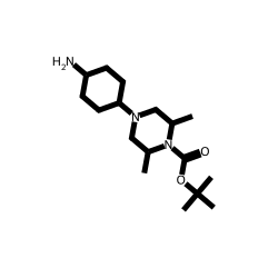 CC1CN(C2CCC(N)CC2)CC(C)N1C(=O)OC(C)(C)C